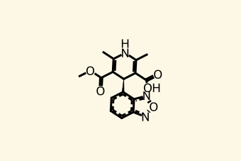 COC(=O)C1=C(C)NC(C)=C(C(=O)O)[C@H]1c1cccc2nonc12